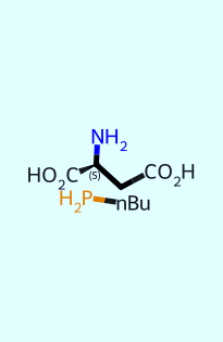 CCCCP.N[C@@H](CC(=O)O)C(=O)O